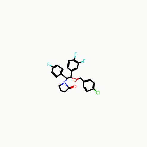 O=C1CCCN1[C@@H](c1ccc(F)cc1)[C@H](OCc1ccc(Cl)cc1)c1ccc(F)c(F)c1